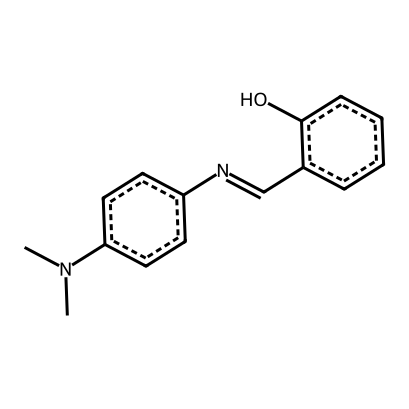 CN(C)c1ccc(N=Cc2ccccc2O)cc1